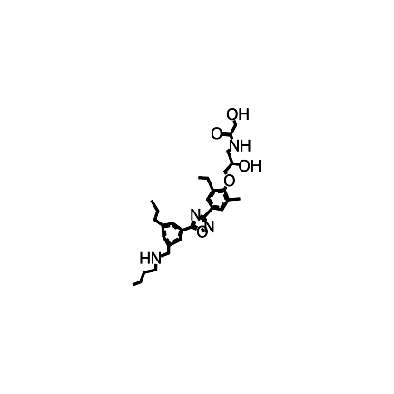 CCCCNCc1cc(CCC)cc(-c2nc(-c3cc(C)c(OCC(O)CNC(=O)CO)c(CC)c3)no2)c1